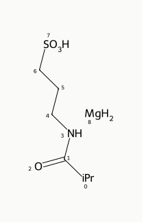 CC(C)C(=O)NCCCS(=O)(=O)O.[MgH2]